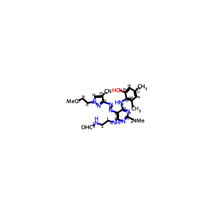 CNc1nc(NCCNC=O)c(N=Nc2nn(CCOC)cc2C#N)c(Nc2c(C)cc(C)cc2O)n1